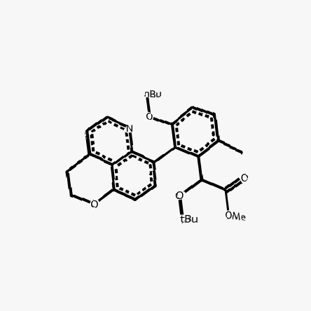 CCCCOc1ccc(C)c(C(OC(C)(C)C)C(=O)OC)c1-c1ccc2c3c(ccnc13)CCO2